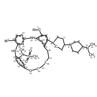 COc1cc(N2CCC(N3CCC(N(C)C)CC3)CC2)c2cc1Nc1ncc(Br)c(n1)Nc1ccc(cc1N(C)S(C)(=O)=O)OCCCCC2